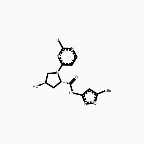 CC(C)(C)c1cc(NC(=O)[C@@H]2C[C@@H](O)CN2c2ccnc(Cl)n2)no1